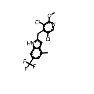 COc1ncc(Cl)c(Cc2cc3c(C)cc(C(F)(F)F)cc3[nH]2)c1Cl